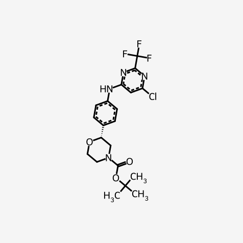 CC(C)(C)OC(=O)N1CCO[C@H](c2ccc(Nc3cc(Cl)nc(C(F)(F)F)n3)cc2)C1